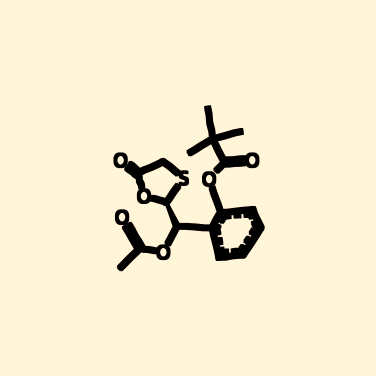 CC(=O)OC(c1ccccc1OC(=O)C(C)(C)C)[C@H]1OC(=O)CS1